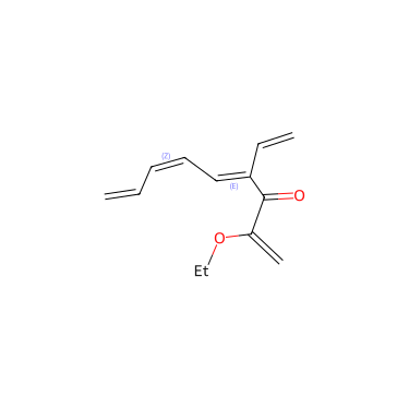 C=C/C=C\C=C(/C=C)C(=O)C(=C)OCC